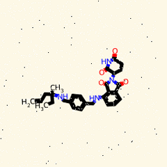 C=CCC(C)(CC)NCc1ccc(CNc2cccc3c2C(=O)N(C2CCC(=O)NC2=O)C3=O)cc1